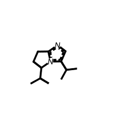 CC(C)c1cnc2n1C(C(C)C)CC2